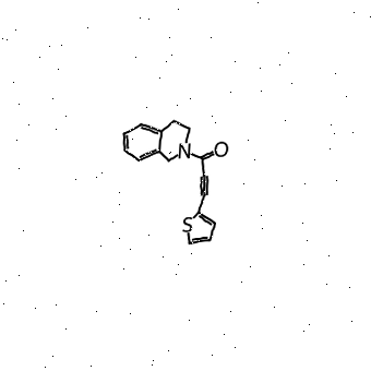 O=C(C#Cc1cccs1)N1CCc2ccccc2C1